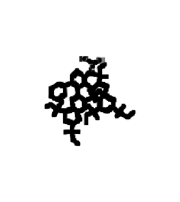 CCC(C)(C)c1cc(C(C)(C)CC)c2cc(-c3c(OP(O)O)ccc(-c4ccccc4)c3-c3cc4c(C(C)(C)CC)cc(C(C)(C)CC)cc4cc3C(C)(C)CC)c(C(C)(C)CC)cc2c1